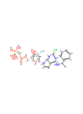 CC(Nc1nc(Cl)nc2c1ccn2[C@@H]1O[C@H](COP(=O)(O)CP(=O)(O)O)[C@@H](O)[C@@H]1F)c1ccccc1